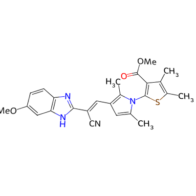 COC(=O)c1c(-n2c(C)cc(C=C(C#N)c3nc4ccc(OC)cc4[nH]3)c2C)sc(C)c1C